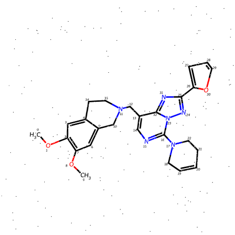 COc1cc2c(cc1OC)CN(Cc1cnc(N3CC=CCC3)n3nc(-c4ccco4)nc13)CC2